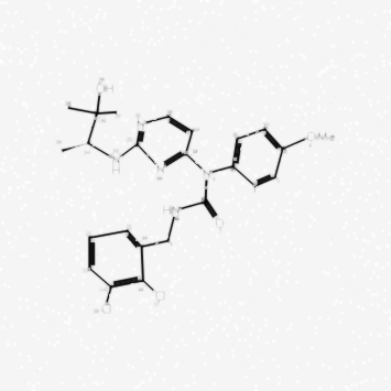 COc1ccc(N(C(=O)NCc2cccc(Cl)c2Cl)c2ccnc(N[C@@H](C)C(C)(C)O)n2)cc1